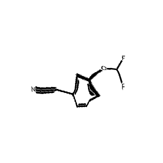 N#Cc1[c]c(OC(F)F)ccc1